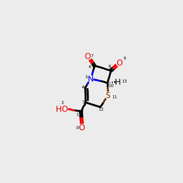 O=C(O)C1=CN2C(=O)C(=O)[C@H]2SC1